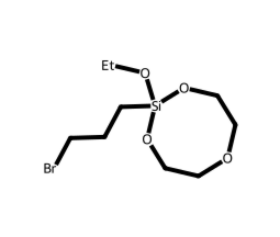 CCO[Si]1(CCCBr)OCCOCCO1